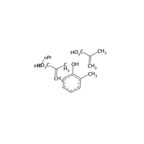 C=C(C)C(=O)O.C=C(C)C(=O)O.CCCO.Cc1ccccc1O